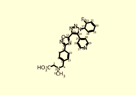 CN(CC(=O)O)CC1=CCC(c2noc(-c3nnn(C4C=CC=CC4F)c3-c3ccncc3)n2)C=C1